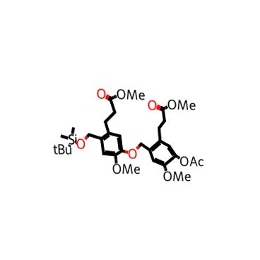 COC(=O)CCc1cc(OC(C)=O)c(OC)cc1COc1cc(CCC(=O)OC)c(CO[Si](C)(C)C(C)(C)C)cc1OC